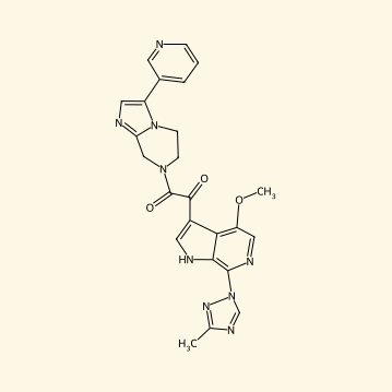 COc1cnc(-n2cnc(C)n2)c2[nH]cc(C(=O)C(=O)N3CCn4c(-c5cccnc5)cnc4C3)c12